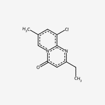 CCc1cc(=O)n2cc(C)cc(Cl)c2n1